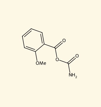 COc1ccccc1C(=O)OC(N)=O